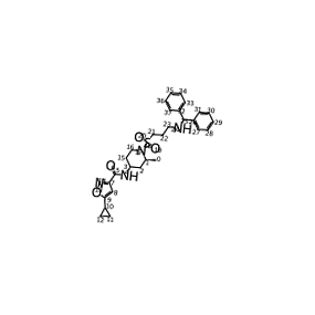 C[C@H]1C[C@@H](NC(=O)c2cc(C3CC3)on2)CCN1S(=O)(=O)CCCNC(c1ccccc1)c1ccccc1